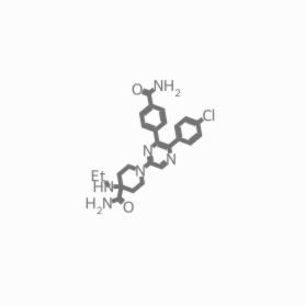 CCNC1(C(N)=O)CCN(c2cnc(-c3ccc(Cl)cc3)c(-c3ccc(C(N)=O)cc3)n2)CC1